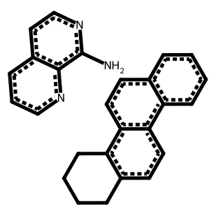 Nc1nccc2cccnc12.c1ccc2c(c1)ccc1c3c(ccc12)CCCC3